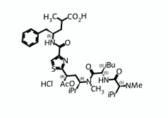 CC[C@H](C)[C@H](NC(=O)[C@@H](NC)C(C)C)C(=O)N(C)[C@H](C[C@@H](OC(C)=O)c1nc(C(=O)N[C@@H](Cc2ccccc2)CC(C)C(=O)O)cs1)C(C)C.Cl